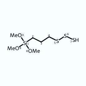 CO[Si](CCCSSS)(OC)OC